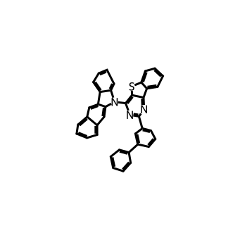 c1ccc(-c2cccc(-c3nc(-n4c5ccccc5c5cc6ccccc6cc54)c4sc5ccccc5c4n3)c2)cc1